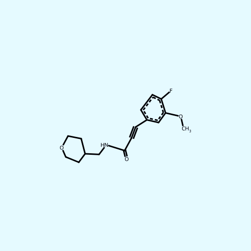 COc1cc(C#CC(=O)NCC2CCOCC2)ccc1F